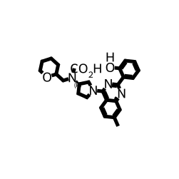 Cc1ccc2c(N3CC[C@@H](N(CC4CCCCO4)C(=O)O)C3)nc(-c3ccccc3O)nc2c1